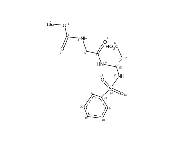 CC(C)(C)OC(=O)NCC(=O)N[C@H](CC(=O)O)NS(=O)(=O)c1ccccc1